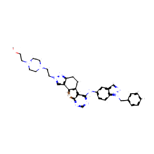 COCCN1CCN(CCn2cc3c(n2)CCc2c-3sc3ncnc(Nc4ccc5c(cnn5Cc5ccccc5)c4)c23)CC1